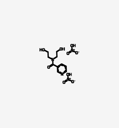 O=C(c1cccnc1)N(CCO)CCO.O=[N+]([O-])O.O=[N+]([O-])O